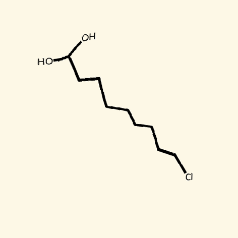 OC(O)CCCCCCCCCl